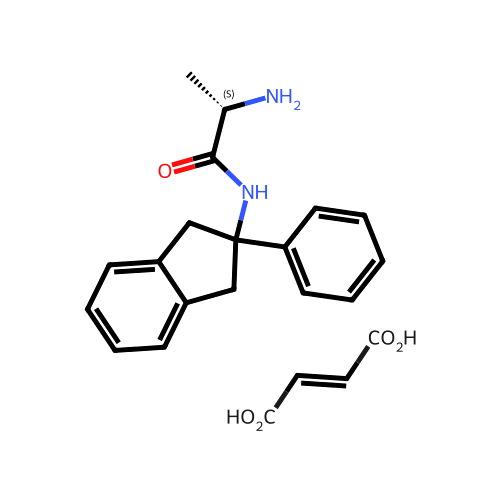 C[C@H](N)C(=O)NC1(c2ccccc2)Cc2ccccc2C1.O=C(O)C=CC(=O)O